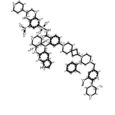 COc1cc(CN2CCN(C3CC4(CCN(c5ccc(C(=O)NS(=O)(=O)c6cc([N+](=O)[O-])c7c(n6)OC[C@H](C6CCOCC6)N7)c(N6c7cc8cc[nH]c8nc7O[C@H]7COCC[C@@H]76)c5)CC4)C3)[C@H](c3ccccc3C)C2)cnc1N1CCOC[C@H]1C